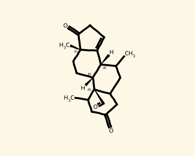 CC1CC2CC(=O)CC(C)[C@]2(C=O)[C@@H]2CC[C@]3(C)C(=O)CC=C3[C@H]12